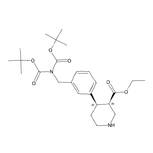 CCOC(=O)[C@H]1CNCC[C@H]1c1cccc(CN(C(=O)OC(C)(C)C)C(=O)OC(C)(C)C)c1